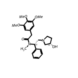 COc1cc(CC(=O)N(C)[C@H](CN2CC[C@H](O)C2)c2ccccc2)cc(OC)c1OC